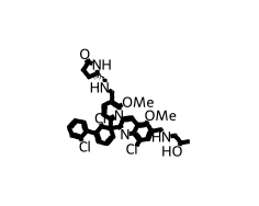 COc1nc(C2(c3ccc4c(OC)c(CNCC(C)O)cc(Cl)c4n3)C=CC=C(c3ccccc3Cl)C2Cl)ccc1CNC[C@@H]1CCC(=O)N1